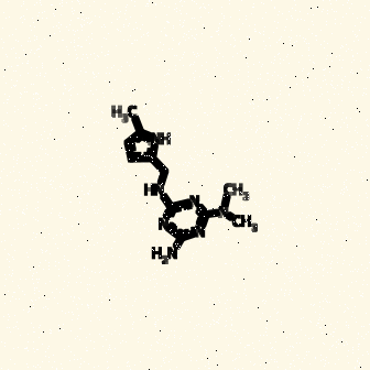 Cc1ccc(CNc2nc(N)nc(N(C)C)n2)[nH]1